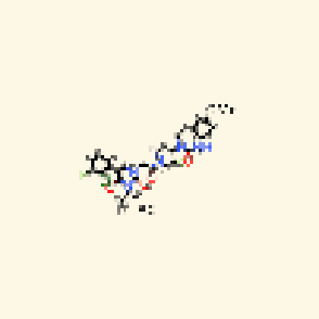 COc1ccc2c(c1)CCN(C1CCN(C(=O)Cn3cc(-c4cccc(F)c4Cl)c(=O)n([C@@H](C)CNC(C)=O)c3=O)CC1F)C(=O)N2